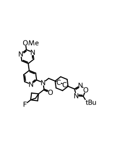 COc1ncc(-c2ccnc(N(CC34CCC(c5noc(C(C)(C)C)n5)(CC3)CC4)C(=O)C34CC(F)(C3)C4)c2)cn1